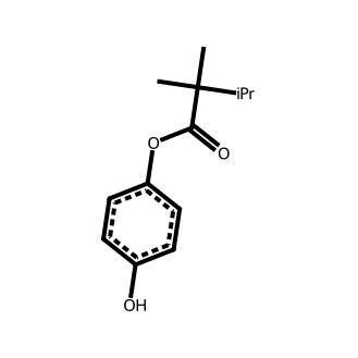 CC(C)C(C)(C)C(=O)Oc1ccc(O)cc1